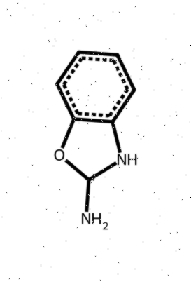 N[C]1Nc2ccccc2O1